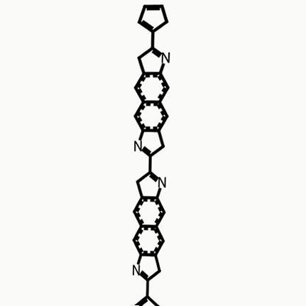 C1=CCC(C2=Nc3cc4cc5c(cc4cc3C2)N=C(C2=Nc3cc4cc6c(cc4cc3C2)N=C(C2=CC=CC2)C6)C5)=C1